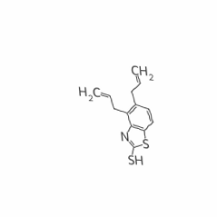 C=CCc1ccc2sc(S)nc2c1CC=C